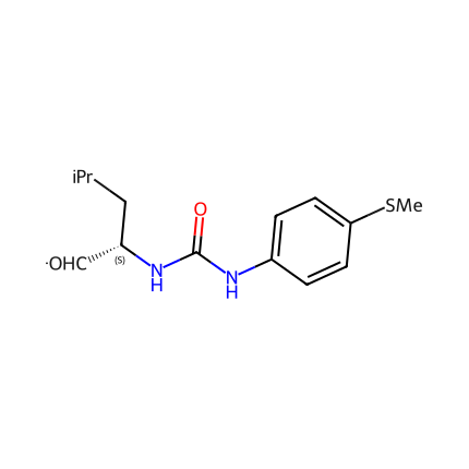 CSc1ccc(NC(=O)N[C@H]([C]=O)CC(C)C)cc1